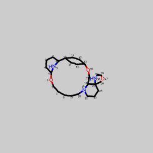 C1CCOC2CCCC(N2)C2CCC(CC2)OCC2N(CC1)CCCC21COCCN1